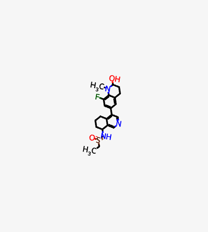 CC[S+]([O-])NC1CCCc2c(-c3cc(F)c4c(c3)CCC(O)N4C)cncc21